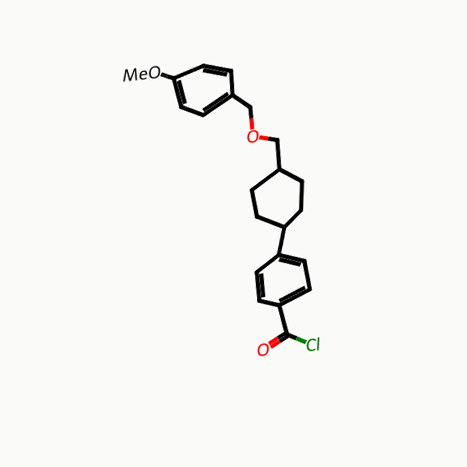 COc1ccc(COCC2CCC(c3ccc(C(=O)Cl)cc3)CC2)cc1